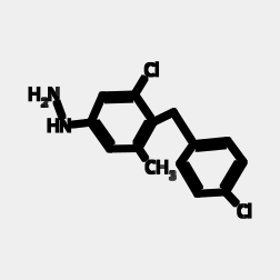 Cc1cc(NN)cc(Cl)c1Cc1ccc(Cl)cc1